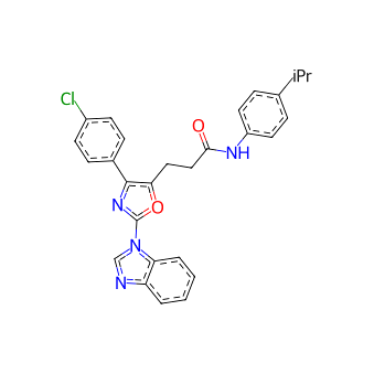 CC(C)c1ccc(NC(=O)CCc2oc(-n3cnc4ccccc43)nc2-c2ccc(Cl)cc2)cc1